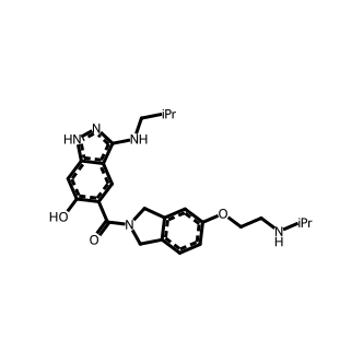 CC(C)CNc1n[nH]c2cc(O)c(C(=O)N3Cc4ccc(OCCNC(C)C)cc4C3)cc12